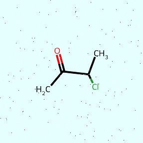 [CH2]C(=O)C(C)Cl